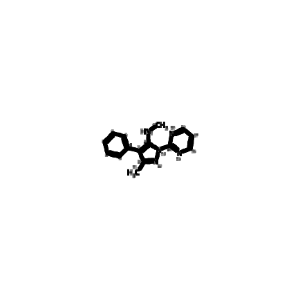 CNc1c(-c2ccccc2)c(C)nn1-c1ncccn1